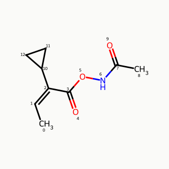 CC=C(C(=O)ONC(C)=O)C1CC1